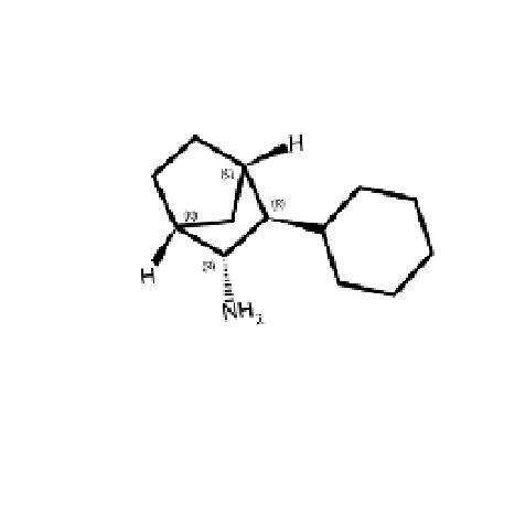 N[C@@H]1[C@@H]2CC[C@@H](C2)[C@H]1C1CCCCC1